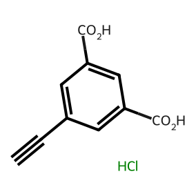 C#Cc1cc(C(=O)O)cc(C(=O)O)c1.Cl